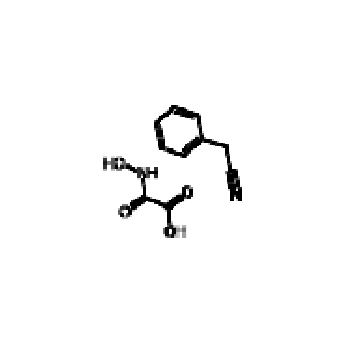 N#CCc1ccccc1.O=C(O)C(=O)NO